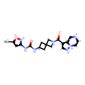 CC(C)(C)c1cc(NC(=O)NC2CC3(C2)CN(C(=O)c2cnn4ccncc24)C3)no1